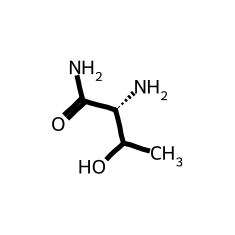 CC(O)[C@@H](N)C(N)=O